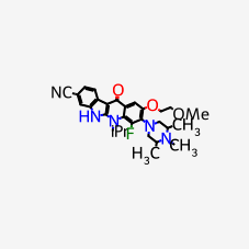 COCCOc1cc2c(=O)c3c4ccc(C#N)cc4[nH]c3n(C(C)C)c2c(F)c1N1CC(C)N(C)C(C)C1